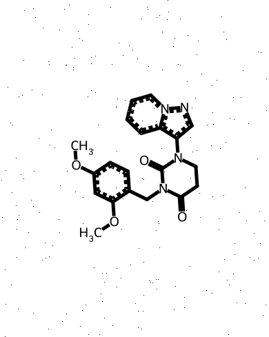 COc1ccc(CN2C(=O)CCN(c3cnn4ccccc34)C2=O)c(OC)c1